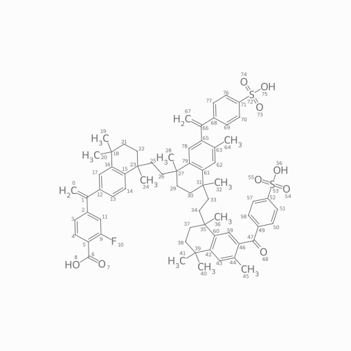 C=C(c1ccc(C(=O)O)c(F)c1)c1ccc2c(c1)C(C)(C)CCC2(C)CCC1(C)CCC(C)(CCC2(C)CCC(C)(C)c3cc(C)c(C(=O)c4ccc(S(=O)(=O)O)cc4)cc32)c2cc(C)c(C(=C)c3ccc(S(=O)(=O)O)cc3)cc21